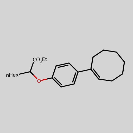 CCCCCCC(Oc1ccc(C2=CCCCCCC2)cc1)C(=O)OCC